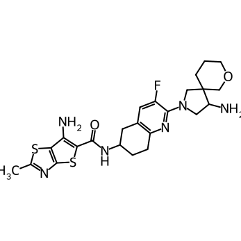 Cc1nc2sc(C(=O)NC3CCc4nc(N5CC(N)C6(CCCOC6)C5)c(F)cc4C3)c(N)c2s1